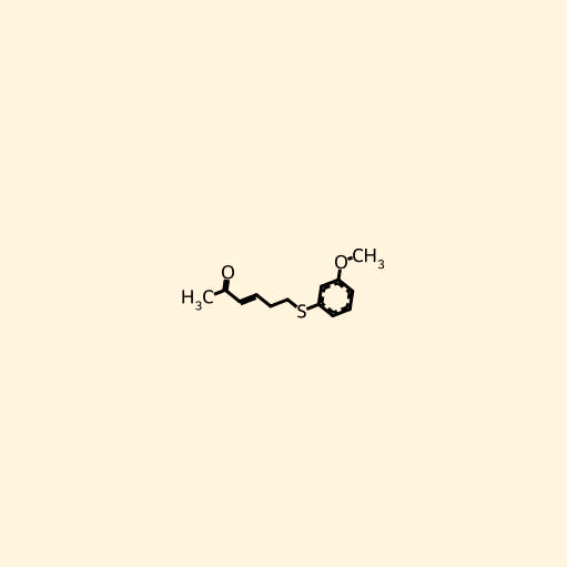 COc1cccc(SCCC=CC(C)=O)c1